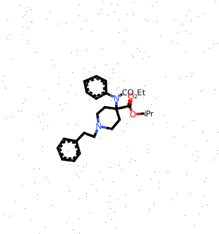 CCOC(=O)N(c1ccccc1)C1(C(=O)OC(C)C)CCN(CCc2ccccc2)CC1